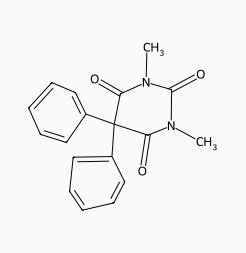 CN1C(=O)N(C)C(=O)C(c2ccccc2)(c2ccccc2)C1=O